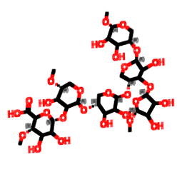 CO[C@@H]1O[C@@H](OC2C(O)[C@H](O[C@@H]3CO[C@@H](OC)C(O)C3O)OC[C@H]2O[C@@H]2OC[C@@H](O[C@@H]3OC[C@@H](OC)C(O)C3O[C@H]3OC(C(=O)O)[C@@H](OC)C(O)C3O)C(O)C2O)C(O)C1O